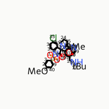 COc1ccc(S(=O)(=O)N2C(=O)C(c3cc(CNC(C)(C)C)ccc3OC)(N3CCCC3c3ncco3)c3cc(Cl)ccc32)cc1